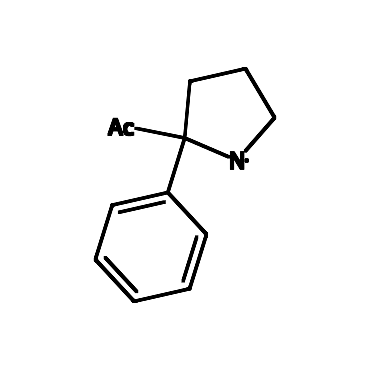 CC(=O)C1(c2ccccc2)CCC[N]1